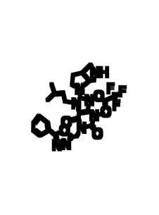 CC(C)=CCN1c2c(n(C)c(=O)n(Cc3nnc(-c4ccccc4)o3)c2=O)N(OC(=O)C(F)(F)F)C1N1CCC2CNCC21